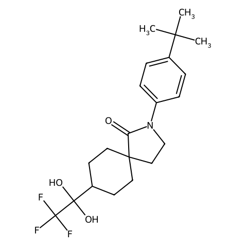 CC(C)(C)c1ccc(N2CCC3(CCC(C(O)(O)C(F)(F)F)CC3)C2=O)cc1